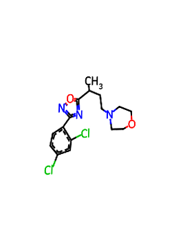 CC(CCN1CCOCC1)c1nc(-c2ccc(Cl)cc2Cl)no1